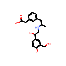 CC(Cc1cccc(CC(=O)O)c1)NCC(O)c1ccc(O)c(CO)c1